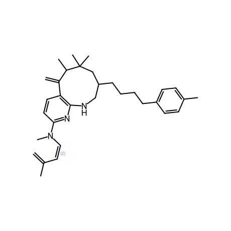 C=C(C)/C=C\N(C)c1ccc2c(n1)NCC(CCCCc1ccc(C)cc1)CC(C)(C)C(C)C2=C